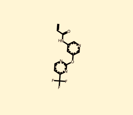 C=CC(=O)Nc1cncc(Oc2nccc(C(F)(F)F)n2)c1